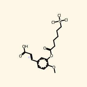 COc1ccc(/C=C/C(=O)O)cc1OC(=O)CCCCC[Si](Cl)(Cl)Cl